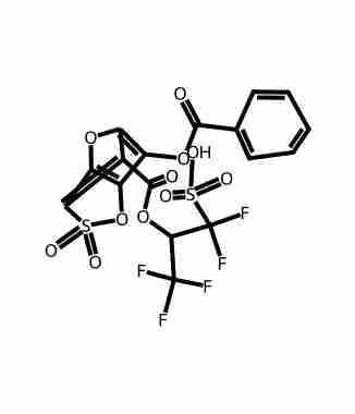 O=C(Oc1c2c3oc1c(C(=O)OC(C(F)(F)F)C(F)(F)S(=O)(=O)O)c3S(=O)(=O)O2)c1ccccc1